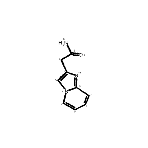 NC(=O)Cc1cn2ccccc2n1